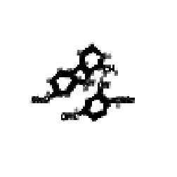 COc1ccc(C=O)cc1O.COc1ccc2c(c1)[nH]c1c(C)nccc12